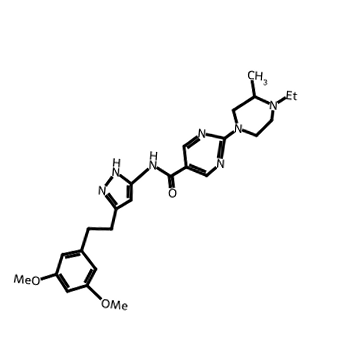 CCN1CCN(c2ncc(C(=O)Nc3cc(CCc4cc(OC)cc(OC)c4)n[nH]3)cn2)CC1C